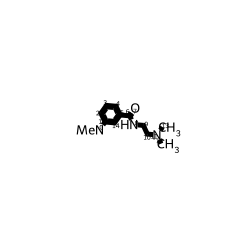 CNc1cccc(C(=O)NCCN(C)C)c1